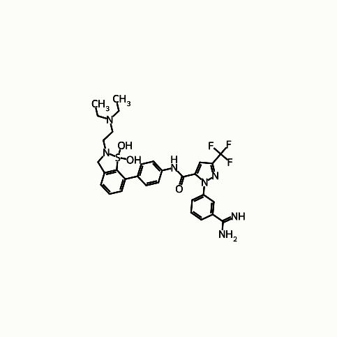 CCN(CC)CCN1Cc2cccc(-c3ccc(NC(=O)c4cc(C(F)(F)F)nn4-c4cccc(C(=N)N)c4)cc3)c2S1(O)O